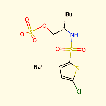 CC[C@@H](C)[C@@H](COS(=O)(=O)[O-])NS(=O)(=O)c1ccc(Cl)s1.[Na+]